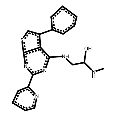 CNC(O)CNc1nc(-c2ccccn2)nc2scc(-c3ccccc3)c12